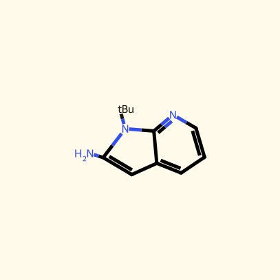 CC(C)(C)n1c(N)cc2cccnc21